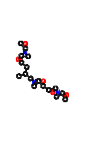 c1ccc(-c2cc(-c3ccc(-n4c5ccccc5c5c6c(ccc54)oc4cc(-c5ccc7oc8c(-n9c%10ccccc%10c%10c%11c(ccc%109)oc9ccccc9%11)cccc8c7c5)ccc46)cc3)cc(-c3cccc(-c4ccc5oc6ccc7c(c8ccccc8n7-c7ccc8oc9ccccc9c8c7)c6c5c4)c3)c2)cc1